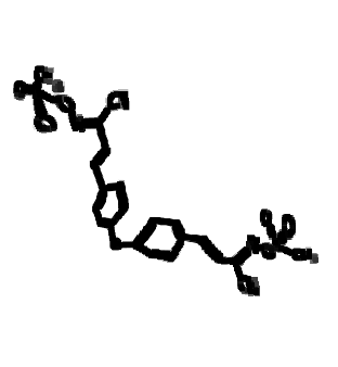 CS(=O)(=O)ON=C(C#N)C=Cc1ccc(Oc2ccc(C=CC(C#N)=NOS(C)(=O)=O)cc2)cc1